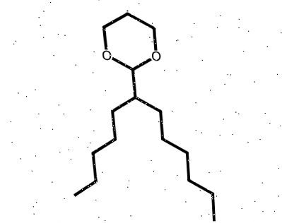 CCCCCCC(CCCCC)C1OC[CH]CO1